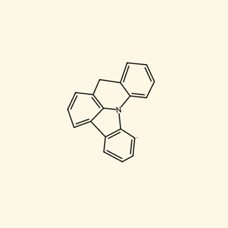 [c]1cccc2c3cccc4c3n(c12)-c1ccccc1C4